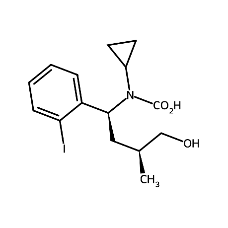 C[C@H](CO)C[C@@H](c1ccccc1I)N(C(=O)O)C1CC1